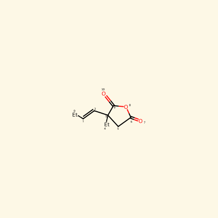 CCC=CC1(CC)CC(=O)OC1=O